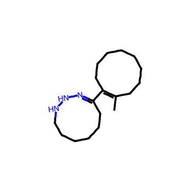 CC1=C(C2=NNNCCCCCC2)CCCCCCCC1